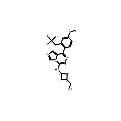 COc1ccc(-c2nnc(NC3CC(CO)C3)n3cncc23)c(CC(F)(F)F)c1